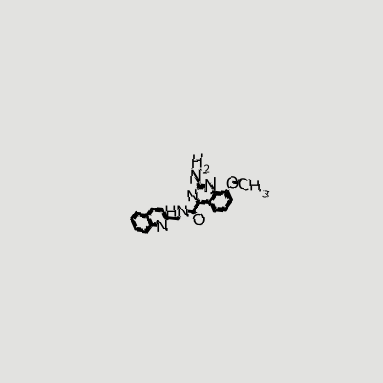 COc1cccc2c(C(=O)NCc3ccc4ccccc4n3)nc(N)nc12